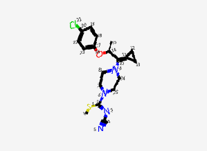 CS/C(=N\C#N)N1CCN(C(=C2CC2)[C@H](C)Oc2ccc(Cl)cc2)CC1